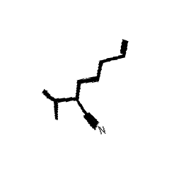 C=CCCCC(C#N)C(C)C